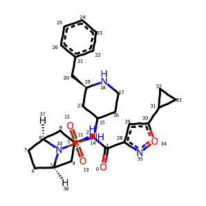 O=C(N[C@H]1C[C@H]2CC[C@@H](C1)N2S(=O)(=O)NC1CCN[C@H](Cc2ccccc2)C1)c1cc(C2CC2)on1